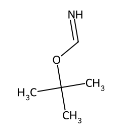 CC(C)(C)OC=N